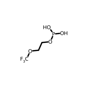 OP(O)OCCOC(F)(F)F